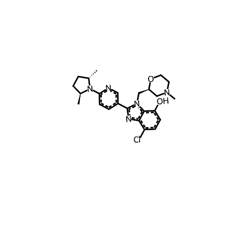 C[C@H]1CC[C@H](C)N1c1ccc(-c2nc3c(Cl)ccc(O)c3n2C[C@@H]2CN(C)CCO2)cn1